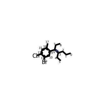 CCC/C(CC)=C(\CC)c1cc(Br)c(Cl)cc1C